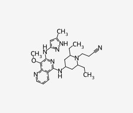 CCC1CC(Nc2nc(Nc3cc(C)[nH]n3)c(OC)c3ncccc23)CC(CC)N1CCC#N